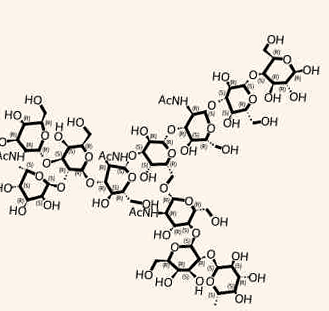 CC(=O)N[C@H]1[C@H](OC[C@H]2O[C@@H](O[C@H]3[C@H](O)[C@@H](CO)O[C@@H](O[C@H]4[C@@H](O)[C@@H](CO)O[C@@H](O[C@H]5[C@H](O)[C@@H](O)[C@H](O)O[C@@H]5CO)[C@@H]4O)[C@@H]3NC(C)=O)[C@H](O)[C@@H](O[C@@H]3O[C@H](CO)[C@@H](O)[C@H](O[C@@H]4O[C@H](CO)[C@H](O)[C@H](O[C@H]5O[C@H](CO)[C@H](O)[C@H](O)[C@H]5NC(C)=O)[C@H]4O[C@@H]4O[C@@H](C)[C@@H](O)[C@@H](O)[C@@H]4O)[C@H]3NC(C)=O)[C@H]2O)O[C@H](CO)[C@@H](O[C@@H]2O[C@H](CO)[C@H](O)[C@H](O)[C@H]2O[C@@H]2O[C@@H](C)[C@@H](O)[C@@H](O)[C@@H]2O)[C@@H]1O